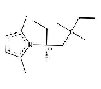 CCC(C)(C)C[C@](C)(CC)n1c(C)ccc1C